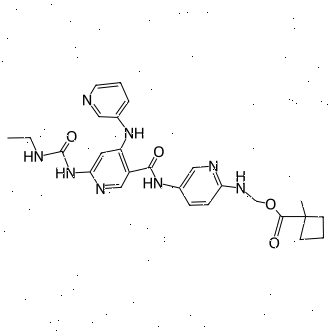 CCNC(=O)Nc1cc(Nc2cccnc2)c(C(=O)Nc2ccc(NCOC(=O)C3(C)CCC3)nc2)cn1